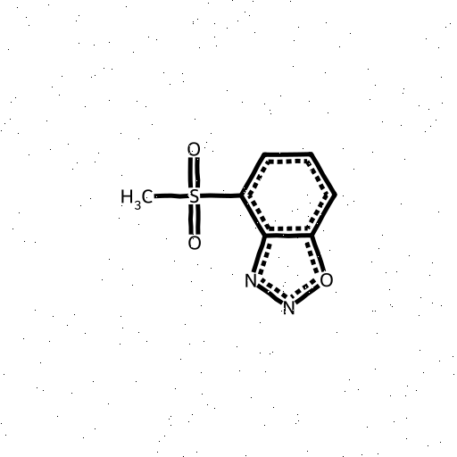 CS(=O)(=O)c1cccc2onnc12